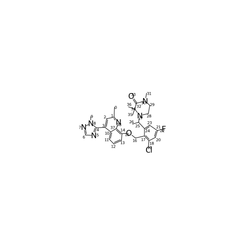 Cc1cc(-c2ncnn2C)c2cccc(OCc3c(Cl)cc(F)cc3C(C)N3CCN(C)C(=O)C3(C)C)c2n1